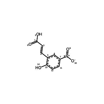 O=C(O)C=Cc1cc([N+](=O)[O-])ccc1O